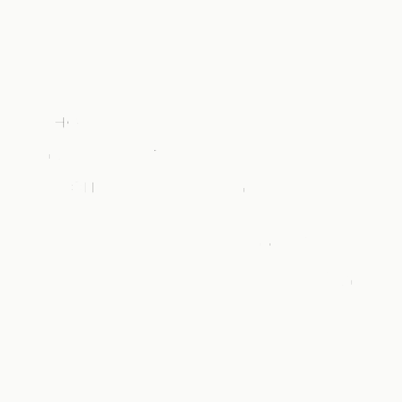 COc1ccc(OCCOc2ccc(C(C)(CC(C)C)c3ccc(O)c(C(=O)O)c3)cc2)cc1